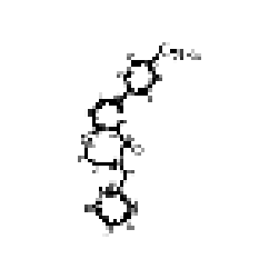 CC(C)(C)Oc1ccc(-c2ccc3c(c2)C(=O)N(Cc2ncccn2)CCO3)cc1